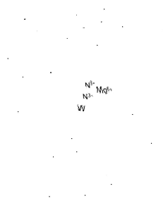 [Mo+6].[N-3].[N-3].[W]